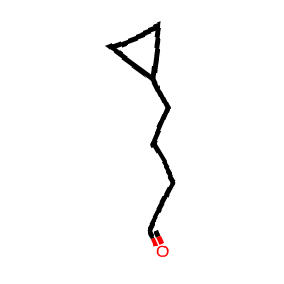 O=CCCCC1CC1